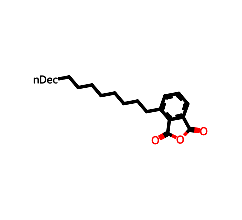 CCCCCCCCCCCCCCCCCCc1cccc2c1C(=O)OC2=O